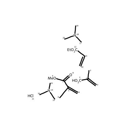 C=C(C)C(=O)O.C=C(C)C(=O)OC.C=CC(=O)OCC.CN(C)C.CN(C)C.Cl